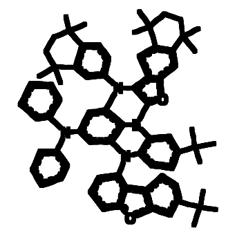 CC(C)(C)c1ccc2c(c1)B1c3oc4cc5c(cc4c3N(c3ccc4c(c3)C(C)(C)CCC4(C)C)c3cc(N(c4ccccc4)c4ccccc4)cc(c31)N2c1cccc2oc3cc(C(C)(C)C)ccc3c12)C(C)(C)CCC5(C)C